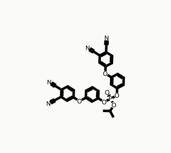 CC(C)OP(=O)(Oc1cccc(Oc2ccc(C#N)c(C#N)c2)c1)Oc1cccc(Oc2ccc(C#N)c(C#N)c2)c1